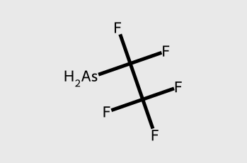 FC(F)(F)C(F)(F)[AsH2]